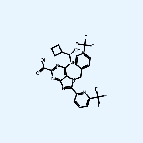 C[C@@H](Nc1nc(C(=O)O)nc2nc(-c3cccc(C(F)(F)F)n3)n(Cc3ccc(C(F)(F)F)cc3)c12)C1CCC1